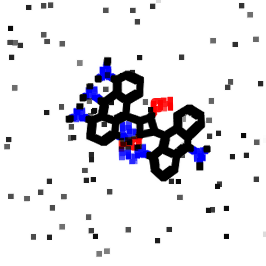 CN(C)c1c2ccccc2c(C2C(O)C(c3c4cccc(N(C)C)c4c(N(C)C)c4c(N(C)C)ccc(N)c34)C2O)c2c(N)cccc12